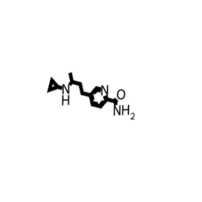 CC(CCc1ccc(C(N)=O)nc1)NC1CC1